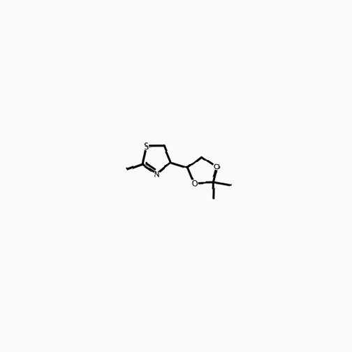 CC1=NC(C2COC(C)(C)O2)CS1